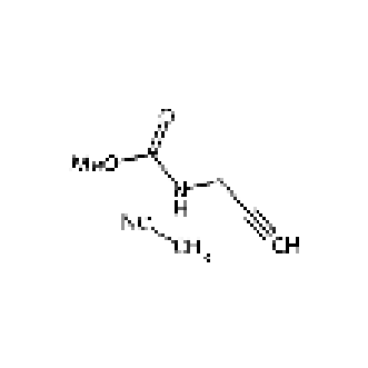 C#CCNC(=O)OC.CC#N